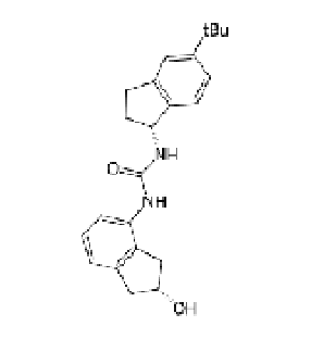 CC(C)(C)c1ccc2c(c1)CC[C@H]2NC(=O)Nc1cccc2c1C[C@H](O)C2